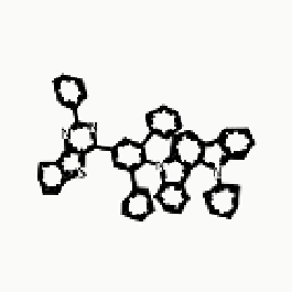 c1ccc(-c2nc(-c3cc(-c4ccccc4)c(-n4c5ccccc5c5c4ccc4c6ccccc6n(-c6ccccc6)c45)c(-c4ccccc4)c3)c3sc4ccccc4c3n2)cc1